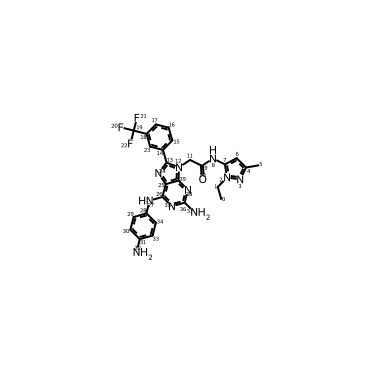 CCn1nc(C)cc1NC(=O)Cn1c(-c2cccc(C(F)(F)F)c2)nc2c(Nc3ccc(N)cc3)nc(N)nc21